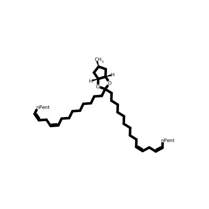 CCCCC/C=C\C/C=C\CCCCCCCCCC1(CCCCCCCC/C=C\C/C=C\CCCCC)O[C@H]2C[C@H](C)C[C@H]2O1